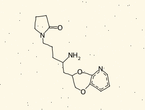 NC(CCCN1CCCC1=O)CC1COc2cccnc2O1